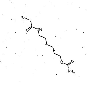 NC(=O)OCCCCCCNC(=O)CBr